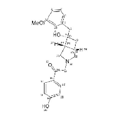 COc1cccc(C[C@@]2(O)C[C@@H]3CN(CC(=O)c4ccc(O)cc4)C[C@@H]32)c1